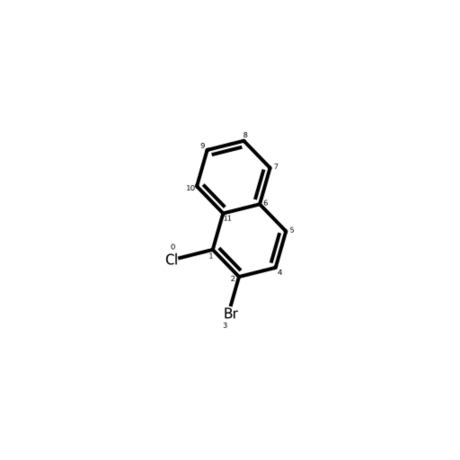 Clc1c(Br)ccc2ccccc12